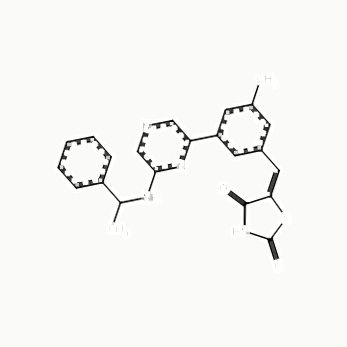 Cc1cc(C=C2SC(=O)NC2=O)cc(-c2cncc(NC(C)c3ccccc3)n2)c1